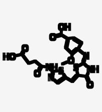 COc1cc(C(=O)O)ccc1/N=C1/NC(=O)/C(=C/c2cnc(NC(=O)CCC(=O)O)s2)S1